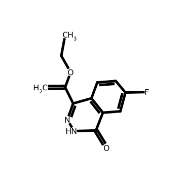 C=C(OCC)c1n[nH]c(=O)c2cc(F)ccc12